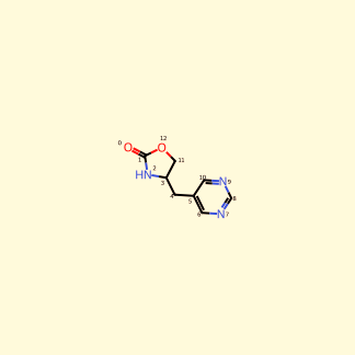 O=C1NC(Cc2cncnc2)CO1